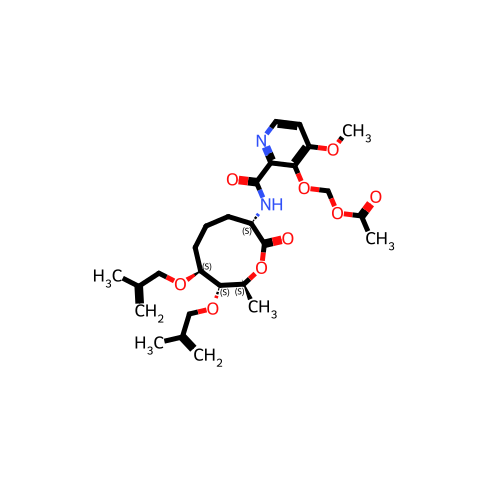 C=C(C)CO[C@H]1[C@H](C)OC(=O)[C@@H](NC(=O)c2nccc(OC)c2OCOC(C)=O)CCC[C@@H]1OCC(=C)C